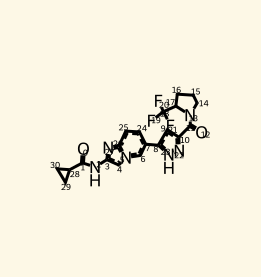 O=C(Nc1cn2cc(-c3cc(C(=O)N4CCCC4C(F)(F)F)n[nH]3)ccc2n1)C1CC1